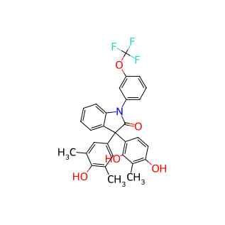 Cc1cc(C2(c3ccc(O)c(C)c3O)C(=O)N(c3cccc(OC(F)(F)F)c3)c3ccccc32)cc(C)c1O